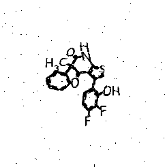 CC1(c2ccccc2)C(=O)Nc2scc(-c3ccc(F)c(F)c3O)c2C1=O